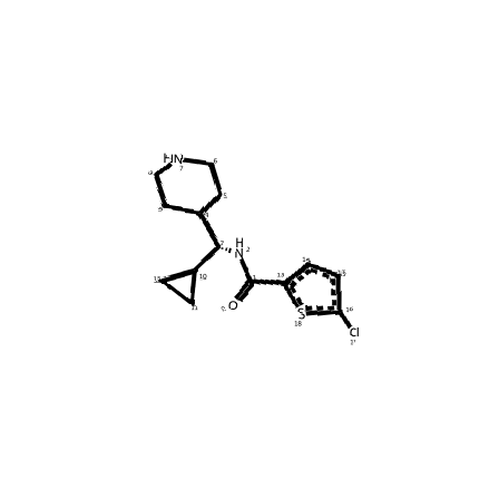 O=C(N[C@@H](C1CCNCC1)C1CC1)c1ccc(Cl)s1